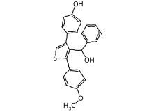 COc1ccc(-c2scc(-c3ccc(O)cc3)c2C(O)c2cccnc2)cc1